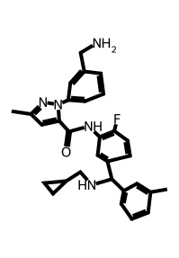 Cc1cccc(C(NCC2CC2)c2ccc(F)c(NC(=O)c3cc(C)nn3-c3cccc(CN)c3)c2)c1